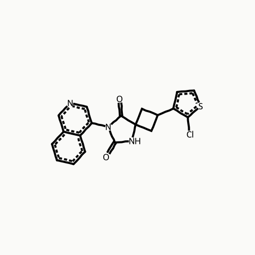 O=C1NC2(CC(c3ccsc3Cl)C2)C(=O)N1c1cncc2ccccc12